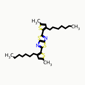 CCCCCCCc1cc(C)sc1-c1nc2sc(-c3sc(C)cc3CCCCCCC)nc2s1